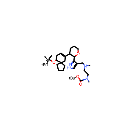 CN(CCN(C)C(=O)OC(C)(C)C)Cc1c[nH]nc1C1OCCCC1C1=CCC(O[Si](C)(C)C(C)(C)C)C2(CCCC2)C1